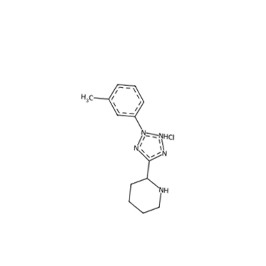 Cc1cccc(-n2nnc(C3CCCCN3)n2)c1.Cl